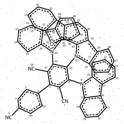 N#Cc1ccc(-c2c(C#N)c(-n3c4ccccc4c4ccccc43)c(-n3c4ccccc4c4ccc5c6ccccc6oc5c43)c(-n3c4ccccc4c4ccccc43)c2C#N)cc1